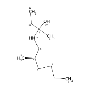 CCCC[C@@H](C)CNC(C)(O)CC